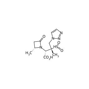 C[C@@H]1CC(=O)N1[C@@H](C(=O)O)[C@](C)(Cn1ccnn1)[SH](=O)=O